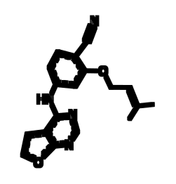 CC(C)=CCOc1cc(Nc2ncnc3occc23)ccc1C#N